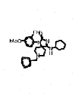 COc1ccc(N2C(=O)N=C(NC3CCCCC3)C23CCN(Cc2ccccc2)CC3)c(C)c1